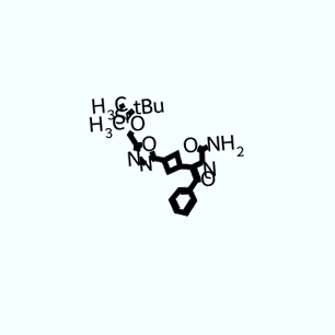 CC(C)(C)[Si](C)(C)OCc1nnc(C2CC(c3c(C(N)=O)noc3-c3ccccc3)C2)o1